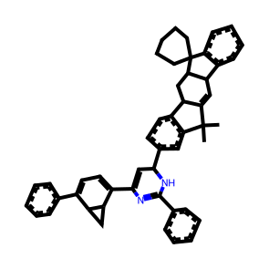 CC1(C)C2=CC3c4ccccc4C4(CCCCC4)C3CC2c2ccc(C3C=C(C4=CC=C(c5ccccc5)C5CC45)N=C(c4ccccc4)N3)cc21